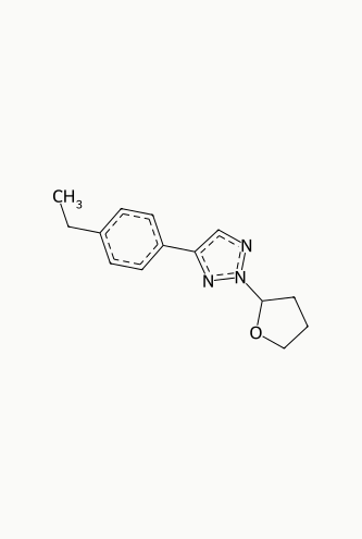 CCc1ccc(-c2cnn(C3CCCO3)n2)cc1